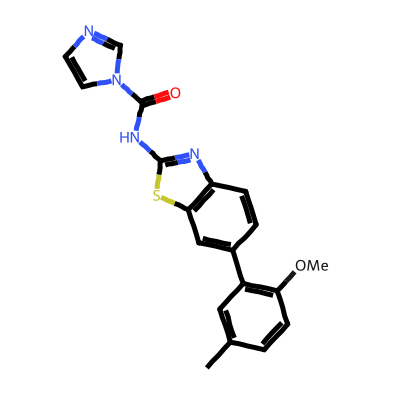 COc1ccc(C)cc1-c1ccc2nc(NC(=O)n3ccnc3)sc2c1